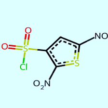 O=[N+]([O-])c1cc(S(=O)(=O)Cl)c([N+](=O)[O-])s1